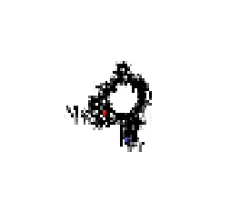 CO[C@]1(C)CC(O[C@@H]2C(C)C(=O)N[C@@H](Cc3ccccc3)C(=O)NCC(=O)NC(Cc3ccccc3)C(=O)N3CCCC3C(=O)N(C)C[C@H](C)C[C@@](C)(O)[C@H](O[C@@H]3OC(C)CC4[C@H]3O/C(=N/C(C)C)N4C)[C@H]2C)OC(C)[C@@H]1O